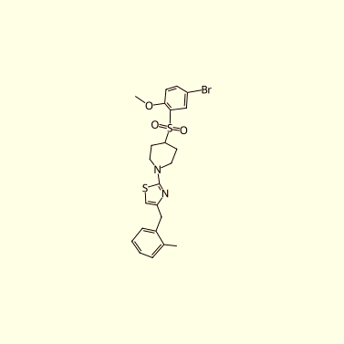 COc1ccc(Br)cc1S(=O)(=O)C1CCN(c2nc(Cc3ccccc3C)cs2)CC1